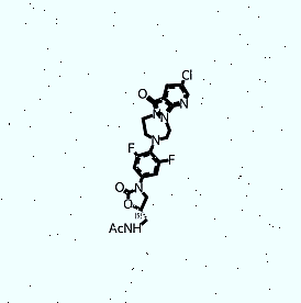 CC(=O)NC[C@H]1CN(c2cc(F)c(N3CCn4c(=O)c5cc(Cl)cnc5n4CC3)c(F)c2)C(=O)O1